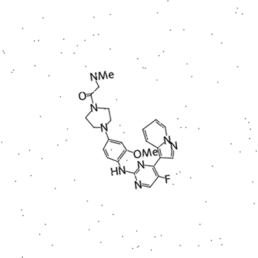 CNCC(=O)N1CCN(c2ccc(Nc3ncc(F)c(-c4cnn5ccccc45)n3)c(OC)c2)CC1